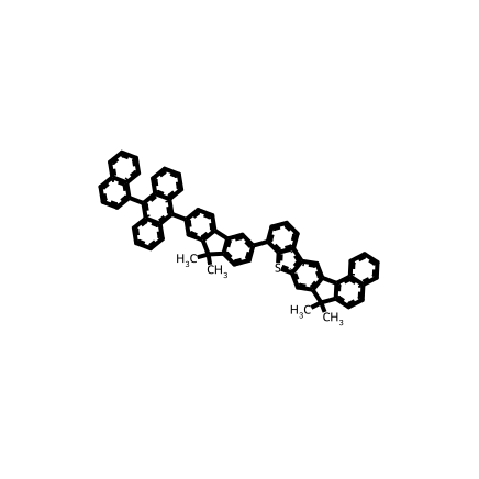 CC1(C)c2ccc(-c3cccc4c3sc3cc5c(cc34)-c3c(ccc4ccccc34)C5(C)C)cc2-c2ccc(-c3c4ccccc4c(-c4cccc5ccccc45)c4ccccc34)cc21